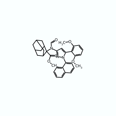 COC(=O)C1(N(C=O)c2cc(-c3c(OC)cccc3OC)n(-c3cccc4ccccc34)n2)C2CC3CC(C2)CC1C3